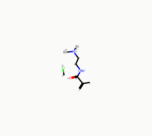 C=C(C)C(=O)NCCN(CC)CC.CCl